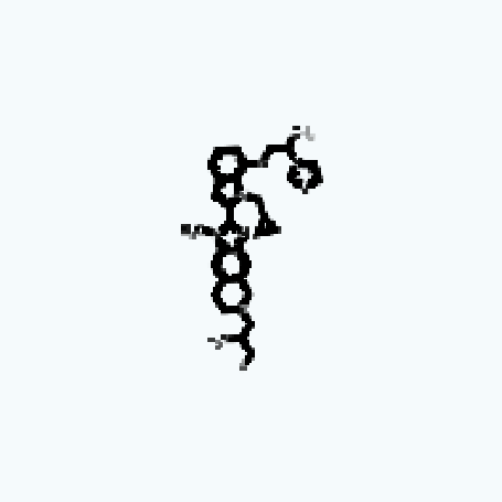 CC(COc1cccc2cc(-c3nc4cc5c(cc4n3C)CCN(CC(N)CF)C5)n(CC3CC3)c12)n1ccnc1